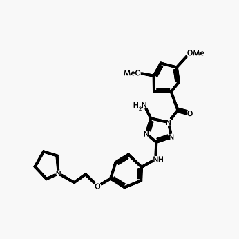 COc1cc(OC)cc(C(=O)n2nc(Nc3ccc(OCCN4CCCC4)cc3)nc2N)c1